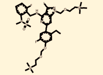 CCc1cc(OCOCC[Si](C)(C)C)c(F)cc1-c1cc2c(c(I)nn2COCC[Si](C)(C)C)c(NCc2c(F)cccc2N(C)S(C)(=O)=O)n1